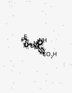 O=C(O)N1CCN(c2nc(OCC3CCCN3CC(F)F)nc3c2CCNC3)CC1